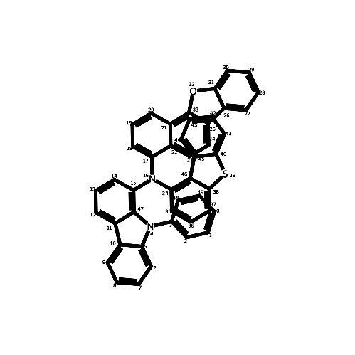 c1ccc(-n2c3ccccc3c3cccc(N(c4cccc5c4ccc4c6ccccc6oc54)c4cccc5sc6ccccc6c45)c32)cc1